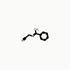 CC(=NCC#N)c1ccccc1